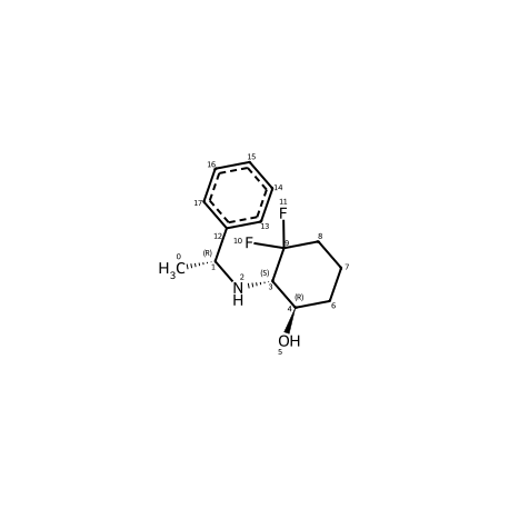 C[C@@H](N[C@H]1[C@H](O)CCCC1(F)F)c1ccccc1